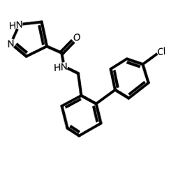 O=C(NCc1ccccc1-c1ccc(Cl)cc1)c1cn[nH]c1